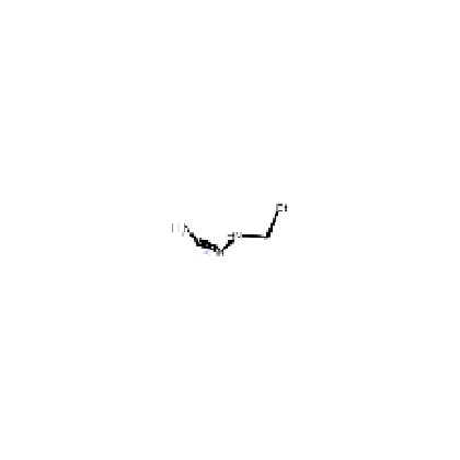 CCCN/N=C\N